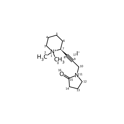 C[N+]1(C)CCCC[C@H]1C#CCN1CCCC1=O.[I-]